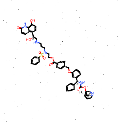 O=C(N[C@@H](c1ccccc1)c1cccc(OCc2ccc(C(=O)OCCN(CCCNC[C@H](O)c3ccc(O)c4[nH]c(=O)ccc34)S(=O)(=O)c3ccccc3)cc2)c1)O[C@H]1CN2CCC1CC2